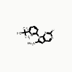 CC(C)(O)c1cccc(-n2c(C(=O)O)cc3cnc(Cl)nc32)n1